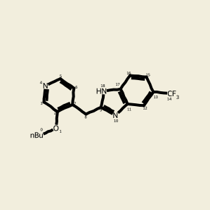 CCCCOc1cnccc1Cc1nc2cc(C(F)(F)F)ccc2[nH]1